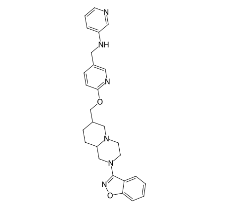 c1cncc(NCc2ccc(OCC3CCC4CN(c5noc6ccccc56)CCN4C3)nc2)c1